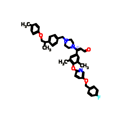 Cc1ccc(OCC(C)c2ccc(CN3CCN(/C(=C/C=O)c4cc(C)c(Oc5ccc(OCc6ccc(F)cc6)cn5)c(C)c4)CC3)cc2)cc1